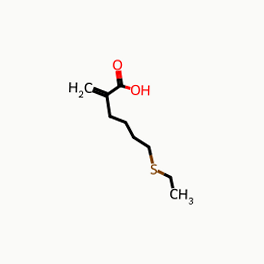 C=C(CCCCSCC)C(=O)O